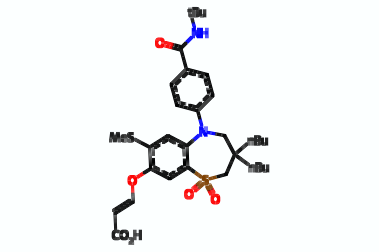 CCCCC1(CCCC)CN(c2ccc(C(=O)NC(C)(C)C)cc2)c2cc(SC)c(O/C=C/C(=O)O)cc2S(=O)(=O)C1